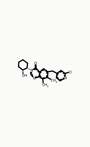 Cc1c(Cc2ccnc(Cl)c2)cc2c(=O)n([C@H]3CCCC[C@@H]3O)cnc2c1C